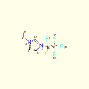 CCn1cc[n+](C(F)(F)C(F)(F)F)c1